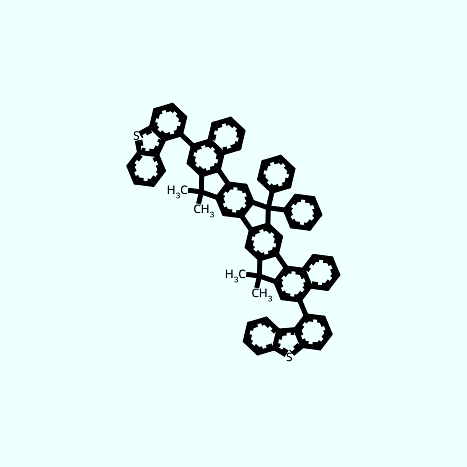 CC1(C)c2cc3c(cc2-c2c1cc(-c1cccc4sc5ccccc5c14)c1ccccc21)C(c1ccccc1)(c1ccccc1)c1cc2c(cc1-3)C(C)(C)c1cc(-c3cccc4sc5ccccc5c34)c3ccccc3c1-2